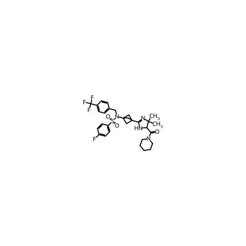 CC1(C)N=C(C23CC(N(Cc4ccc(C(F)(F)F)cc4)S(=O)(=O)c4ccc(F)cc4)(C2)C3)NC1C(=O)N1CCCCC1